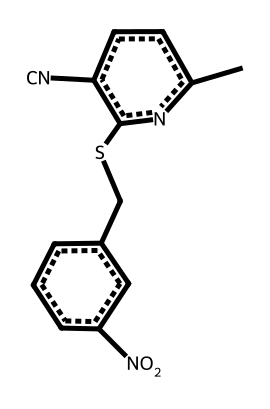 [C-]#[N+]c1ccc(C)nc1SCc1cccc([N+](=O)[O-])c1